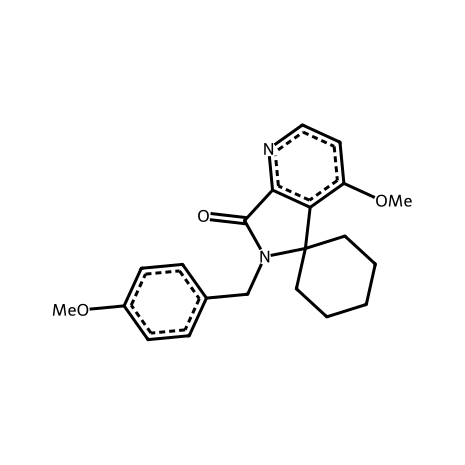 COc1ccc(CN2C(=O)c3nccc(OC)c3C23CCCCC3)cc1